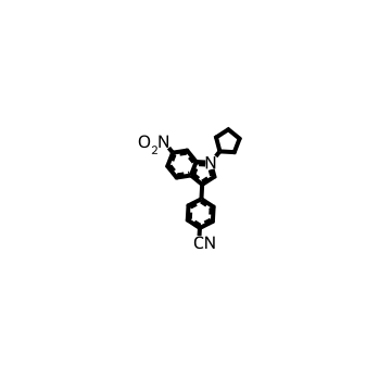 N#Cc1ccc(-c2cn(C3CCCC3)c3cc([N+](=O)[O-])ccc23)cc1